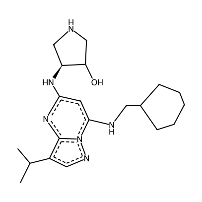 CC(C)c1cnn2c(NCC3CCCCC3)cc(N[C@H]3CNCC3O)nc12